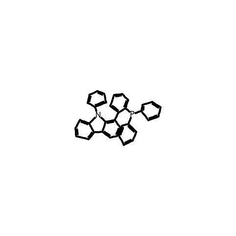 c1ccc(-n2c3ccccc3c3cccc(-c4ccccc4P(c4ccccc4)c4ccccc4)c32)cc1